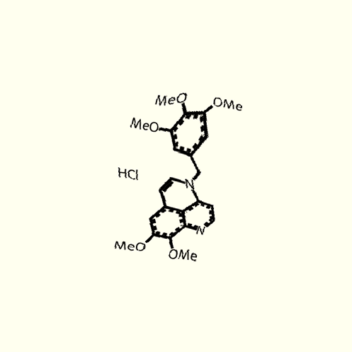 COc1cc(CN2C=Cc3cc(OC)c(OC)c4nccc2c34)cc(OC)c1OC.Cl